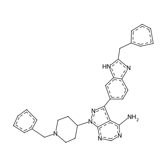 Nc1ncnc2c1c(-c1ccc3nc(Cc4ccccc4)[nH]c3c1)nn2C1CCN(Cc2ccccc2)CC1